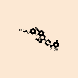 Cc1ccc(O)c(C(=O)N2CCN(C(Cc3ccc(C#N)c(Oc4cccc(OCCO)c4)c3)c3cnc(C)[nH]3)CC2)c1